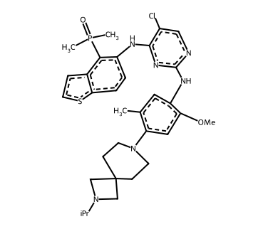 COc1cc(N2CCC3(CC2)CN(C(C)C)C3)c(C)cc1Nc1ncc(Cl)c(Nc2ccc3sccc3c2P(C)(C)=O)n1